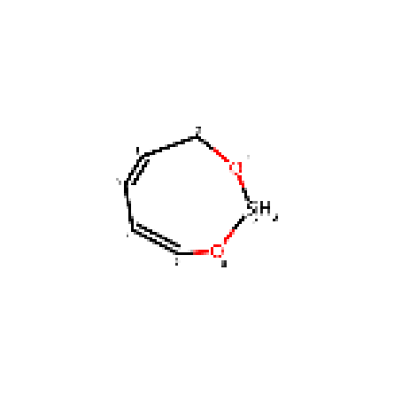 C1=CCO[SiH2]OC=C1